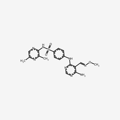 CON=Cc1c(N)ncnc1Nc1ccc(S(=O)(=O)Nc2ncc(C)nc2C)cc1